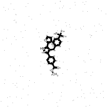 COC(=O)c1ccc(-c2n[nH]c(-c3ccco3)c2Cc2ccc(C(F)(F)F)cc2)cc1